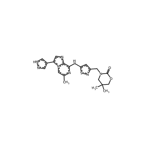 Cc1cn2c(-c3cn[nH]c3)cnc2c(Nc2cc(CN3CC(C)(C)COC3=O)ns2)n1